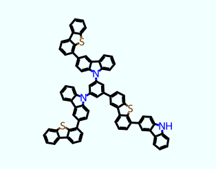 c1ccc2c(c1)[nH]c1ccc(-c3cccc4c3sc3ccc(-c5cc(-n6c7ccccc7c7cc(-c8cccc9c8sc8ccccc89)ccc76)cc(-n6c7ccccc7c7cc(-c8cccc9c8sc8ccccc89)ccc76)c5)cc34)cc12